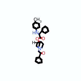 Cc1ccc(NC(C(=O)O[C@H]2C[N+]3(CC(=O)c4ccccc4)CCC2CC3)c2ccccc2)cc1